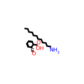 CCCCCCCCCCCCN.O=C=C1C=CC=CC1C(=O)O